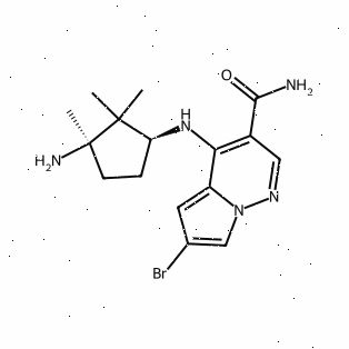 CC1(C)[C@@H](Nc2c(C(N)=O)cnn3cc(Br)cc23)CC[C@@]1(C)N